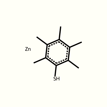 Cc1c(C)c(C)c(S)c(C)c1C.[Zn]